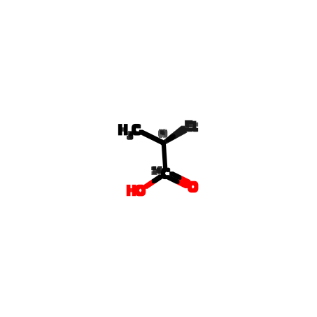 CC[C@H](C)[14C](=O)O